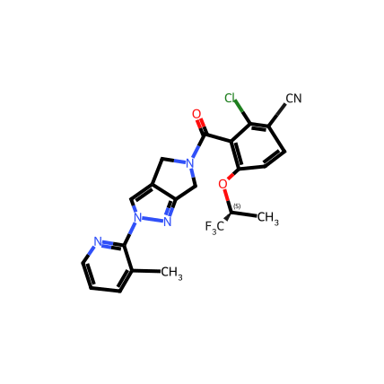 Cc1cccnc1-n1cc2c(n1)CN(C(=O)c1c(O[C@@H](C)C(F)(F)F)ccc(C#N)c1Cl)C2